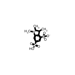 CC1=[N+](C)c2cc(S(=O)(=O)O)cc(S(=O)(=O)[O-])c2C1C